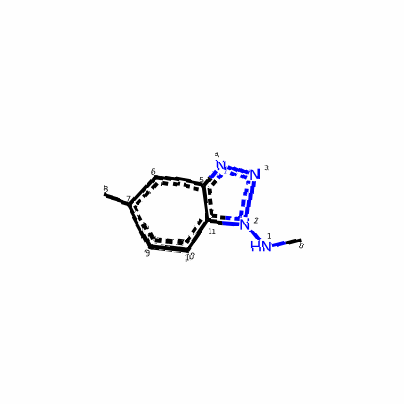 CNn1nnc2cc(C)ccc21